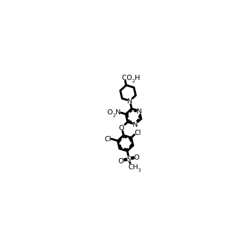 CS(=O)(=O)c1cc(Cl)c(Oc2ncnc(N3CCC(C(=O)O)CC3)c2[N+](=O)[O-])c(Cl)c1